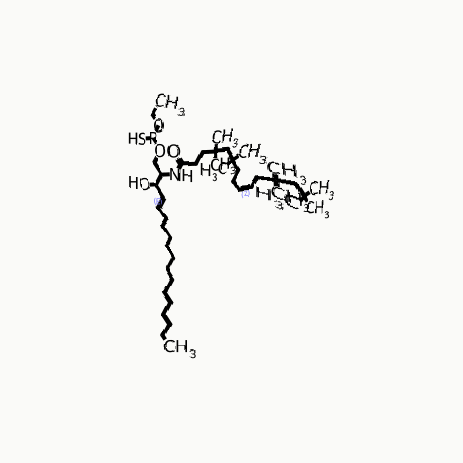 CCCCCCCCCCCCC/C=C/C(O)C(COP(S)OCC)NC(=O)CCC(C)(C)CC(C)(C)CC/C=C\CC(C)(C)CC(C)(C)C